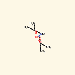 CCCCCCCCC(CCCCCCCC)COC(=O)CCCCCN(CCN(CCO)CCOCCC(=O)OCC(CCCCCCCC)CCCCCCCC)C1CCCCC1